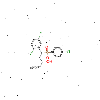 CCCCCC(O)CC(c1cc(F)ccc1F)S(=O)(=O)c1ccc(Cl)cc1